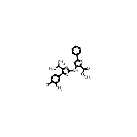 COC(=O)c1sc(-c2ccccc2)cc1Nc1nc(-c2ccc(Cl)c(C)c2)c(C(C)C)s1